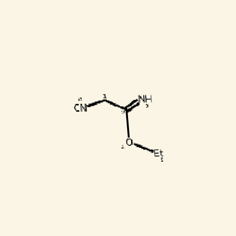 [C-]#[N+]CC(=N)OCC